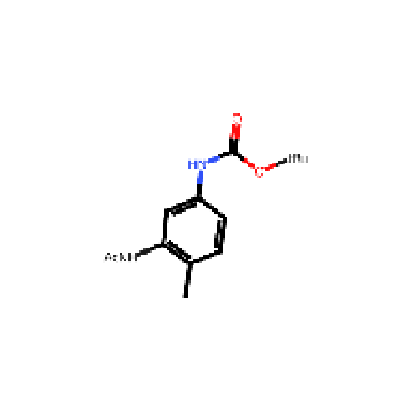 CC(=O)Nc1cc(NC(=O)OC(C)(C)C)ccc1C